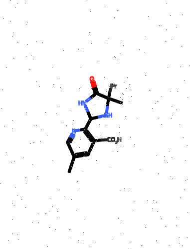 Cc1cnc(C2NC(=O)C(C)(C(C)C)N2)c(C(=O)O)c1